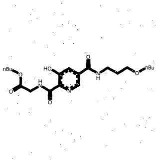 CCCCOCCCNC(=O)c1cnc(C(=O)NCC(=O)OCCCC)c(O)c1